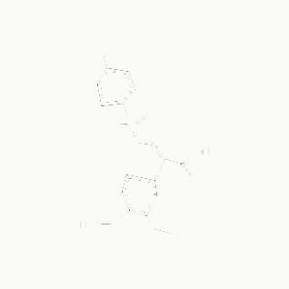 COc1ccc(/C(=N\OS(=O)(=O)c2ccc(C)cc2)C(=O)O)cc1OC